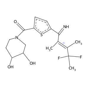 C/C(C(=N)c1ccc(C(=O)N2CCC(O)C(O)C2)s1)=C(/C)C(C)(F)F